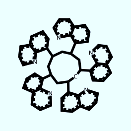 c1cnc2c(C3CC(c4cccc5cccnc45)CC(c4cccc5cccnc45)CC(c4cccc5cccnc45)CC(c4cccc5cccnc45)C3)cccc2c1